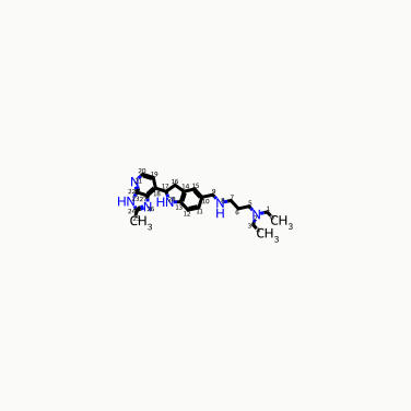 CCN(CC)CCCNCc1ccc2c(c1)CC(c1ccnc3[nH]c(C)nc13)N2